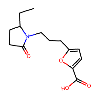 CCC1CCC(=O)N1CCCc1ccc(C(=O)O)o1